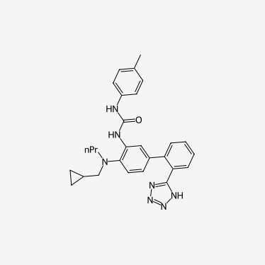 CCCN(CC1CC1)c1ccc(-c2ccccc2-c2nnn[nH]2)cc1NC(=O)Nc1ccc(C)cc1